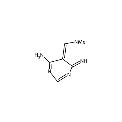 CN/C=C1\C(=N)N=CN=C1N